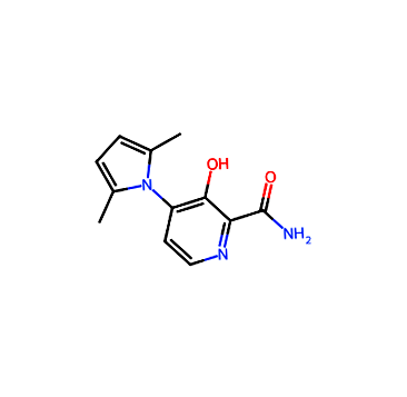 Cc1ccc(C)n1-c1ccnc(C(N)=O)c1O